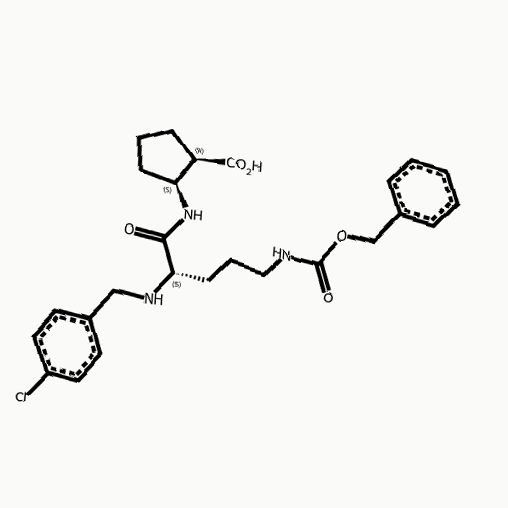 O=C(NCCC[C@H](NCc1ccc(Cl)cc1)C(=O)N[C@H]1CCC[C@H]1C(=O)O)OCc1ccccc1